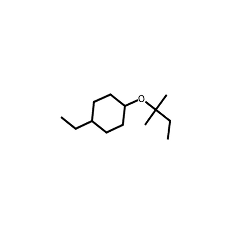 CCC1CCC(OC(C)(C)CC)CC1